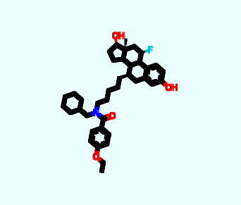 CCOc1ccc(C(=O)N(CCCCC[C@@H]2Cc3cc(O)ccc3C3C2C2CC[C@H](O)[C@@]2(C)C[C@@H]3F)CC2CCCCC2)cc1